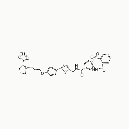 COC(=O)[C@H]1CCCN1CCCOc1ccc(-c2ncc(CNC(=O)c3ccc4c(c3)NC(=O)c3ccccc3S4(=O)=O)s2)cc1